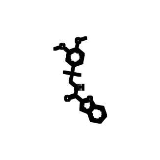 COc1ccc(C(C)(C)CNC(=O)c2cc3ccccc3o2)cc1OC